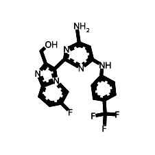 Nc1cc(Nc2ccc(C(F)(F)F)cc2)nc(-c2c(CO)nc3ccc(F)cn23)n1